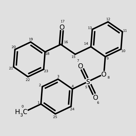 Cc1ccc(S(=O)(=O)Oc2ccccc2CC(=O)c2ccccc2)cc1